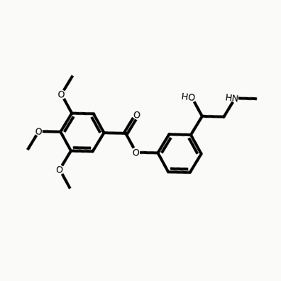 CNCC(O)c1cccc(OC(=O)c2cc(OC)c(OC)c(OC)c2)c1